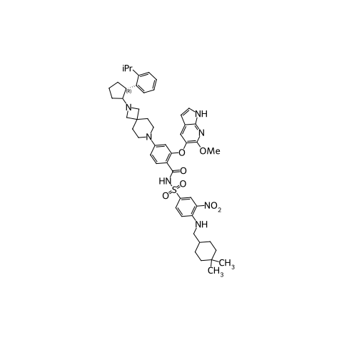 COc1nc2[nH]ccc2cc1Oc1cc(N2CCC3(CC2)CN(C2CCC[C@@H]2c2ccccc2C(C)C)C3)ccc1C(=O)NS(=O)(=O)c1ccc(NCC2CCC(C)(C)CC2)c([N+](=O)[O-])c1